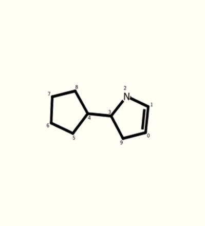 C1=C[N]C(C2CCCC2)C1